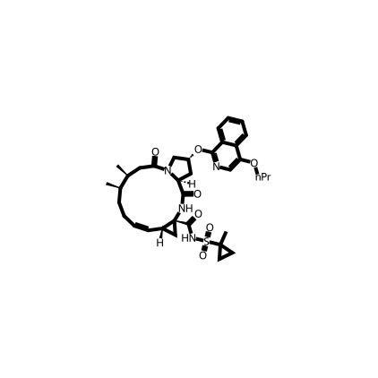 CCCOc1cnc(O[C@@H]2C[C@H]3C(=O)N[C@]4(C(=O)NS(=O)(=O)C5(C)CC5)C[C@@H]4/C=C\CC[C@@H](C)[C@@H](C)CC(=O)N3C2)c2ccccc12